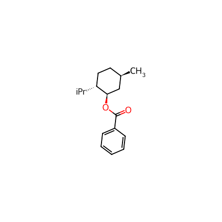 CC(C)[C@@H]1CC[C@@H](C)C[C@H]1OC(=O)c1ccccc1